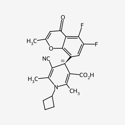 CC1=C(C#N)[C@@H](c2cc(F)c(F)c3c(=O)cc(C)oc23)C(C(=O)O)=C(C)N1C1CCC1